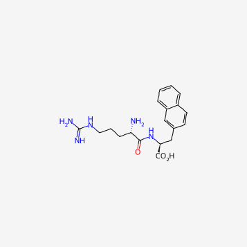 N=C(N)NCCC[C@H](N)C(=O)N[C@@H](Cc1ccc2ccccc2c1)C(=O)O